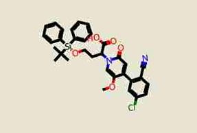 COc1cn(C(CCO[Si](c2ccccc2)(c2ccccc2)C(C)(C)C)C(=O)O)c(=O)cc1-c1cc(Cl)ccc1C#N